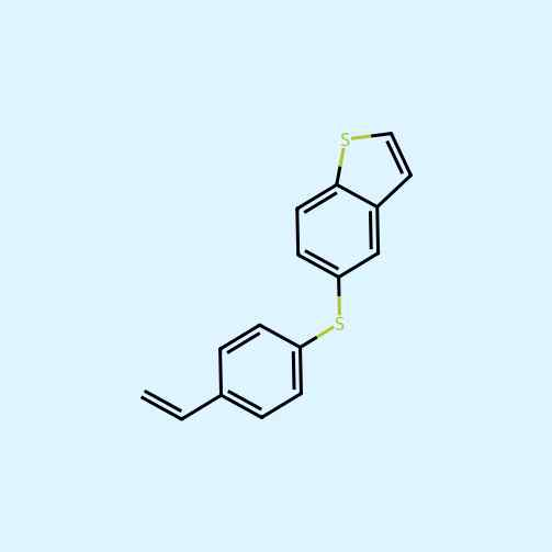 C=Cc1ccc(Sc2ccc3sccc3c2)cc1